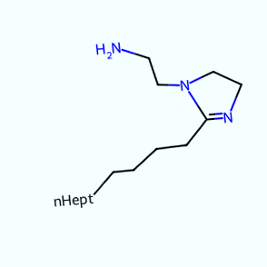 CCCCCCCCCCCC1=NCCN1CCN